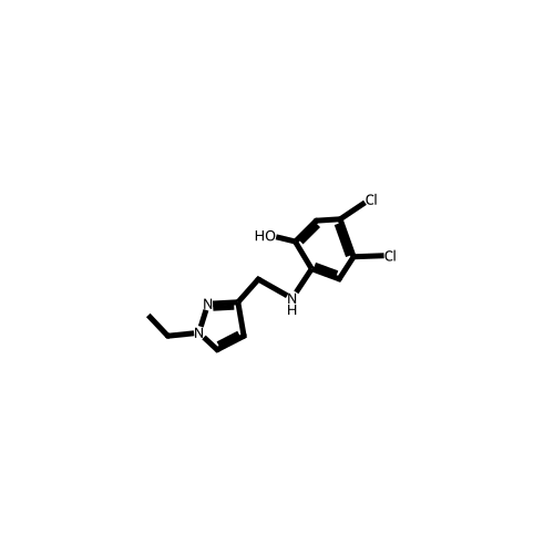 CCn1ccc(CNc2cc(Cl)c(Cl)cc2O)n1